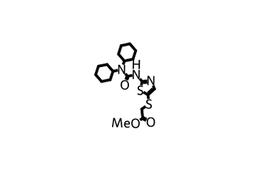 COC(=O)CSc1cnc(NC(=O)N(C2CCCCC2)C2CCCCC2)s1